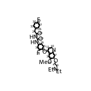 CCN(CC)CCOc1cc2nccc(Oc3ccc(NC(=O)NC(=O)Cc4ccc(F)cc4)cc3F)c2cc1OC